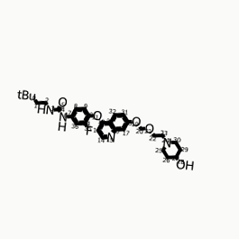 CC(C)(C)CCNC(=O)Nc1ccc(Oc2ccnc3cc(OCOCCN4CCC(O)CC4)ccc23)c(F)c1